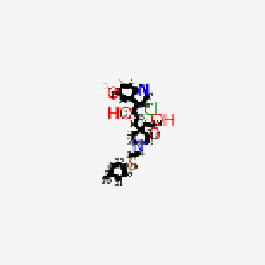 COc1ccc2ncc(Cl)c([C@H](O)CCC3(CC(=O)O)CCN(CCSc4ccc(C)cc4)CC3)c2c1